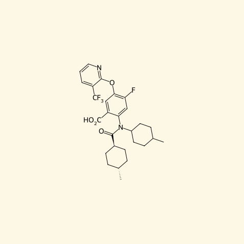 CC1CCC(N(c2cc(F)c(Oc3ncccc3C(F)(F)F)cc2C(=O)O)C(=O)[C@H]2CC[C@H](C)CC2)CC1